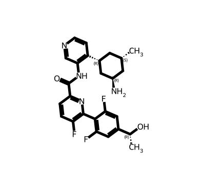 C[C@@H]1C[C@@H](N)C[C@H](c2ccncc2NC(=O)c2ccc(F)c(-c3c(F)cc([C@@H](C)O)cc3F)n2)C1